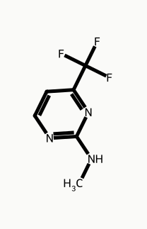 CNc1nccc(C(F)(F)F)n1